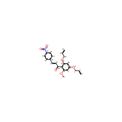 C=CCOc1cc(OC)c(C(=O)/C=C/c2ccc([N+](=O)[O-])cc2)c(OCC=C)c1